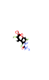 Cc1c(F)c(=O)oc2cc(F)c(NC(N)=O)c(F)c12